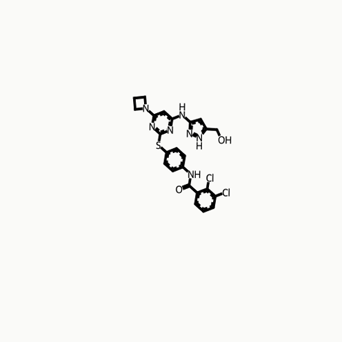 O=C(Nc1ccc(Sc2nc(Nc3cc(CO)[nH]n3)cc(N3CCC3)n2)cc1)c1cccc(Cl)c1Cl